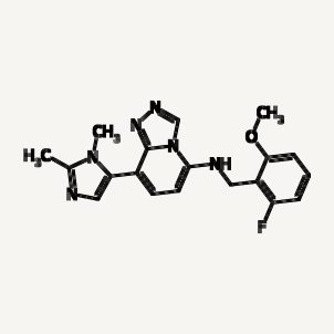 COc1cccc(F)c1CNc1ccc(-c2cnc(C)n2C)c2nncn12